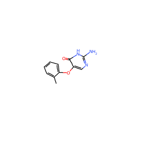 Cc1ccccc1Oc1cnc(N)[nH]c1=O